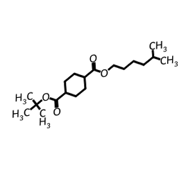 CC(C)CCCCOC(=O)C1CCC(C(=O)OC(C)(C)C)CC1